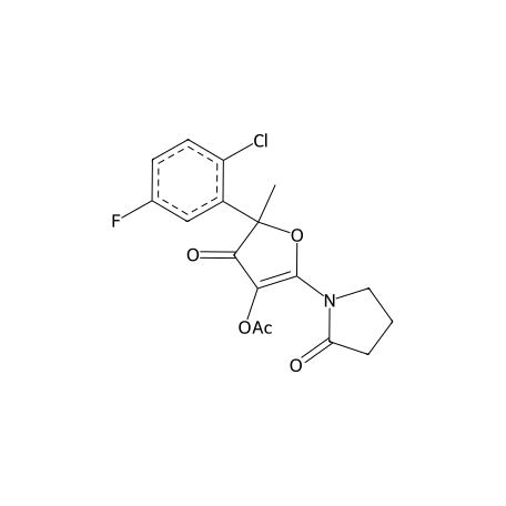 CC(=O)OC1=C(N2CCCC2=O)OC(C)(c2cc(F)ccc2Cl)C1=O